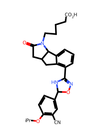 CC(C)Oc1ccc(C2NC(c3cccc4c3CC3CC(=O)N(CCCCC(=O)O)C43)=NO2)cc1C#N